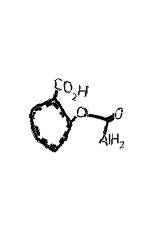 O=[C]([AlH2])Oc1ccccc1C(=O)O